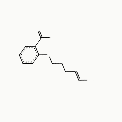 CCCCC=CCCCOc1ccccc1C(=O)Cl